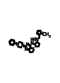 Cn1cccc1CN[C@H]1CCC[C@@H]1Nc1nc(N2CCN(c3ccccc3)CC2)nc2c1SCC2